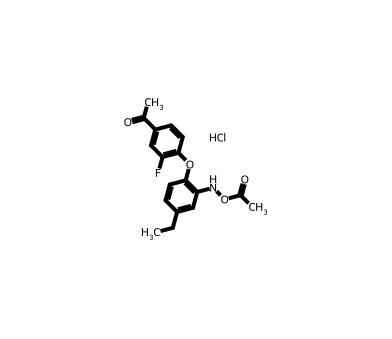 CCc1ccc(Oc2ccc(C(C)=O)cc2F)c(NOC(C)=O)c1.Cl